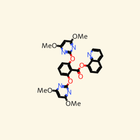 COc1cc(OC)nc(Oc2cccc(Oc3nc(OC)cc(OC)n3)c2C(=O)Oc2cccc3cccnc23)n1